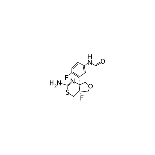 NC1=N[C@@]2(c3cc(NC=O)ccc3F)COC[C@@]2(F)CS1